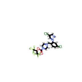 O=C(OC(C(F)(F)F)C(F)(F)F)N1CCN(Cc2ccc(Cl)cc2-n2cc(Cl)cn2)CC1